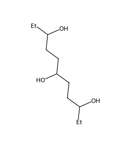 [CH2]CC(O)CCC(O)CCC(O)CC